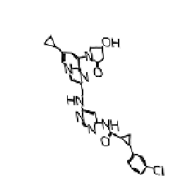 O=C(Nc1cc(NCc2cn3cc(C4CC4)cc(N4C[C@@H](O)CC4=O)c3n2)ncn1)C1CC1c1cccc(Cl)c1